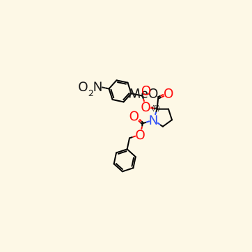 COC(=O)[C@]1(OC(=O)c2ccc([N+](=O)[O-])cc2)CCCN1C(=O)OCc1ccccc1